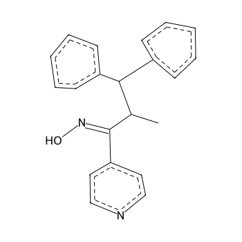 CC(/C(=N/O)c1ccncc1)C(c1ccccc1)c1ccccc1